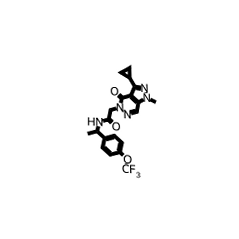 CC(NC(=O)Cn1ncc2c(c(C3CC3)nn2C)c1=O)c1ccc(OC(F)(F)F)cc1